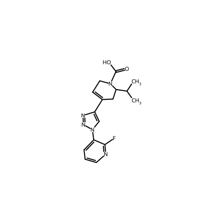 CC(C)C1CC(c2cn(-c3cccnc3F)nn2)=CCN1C(=O)O